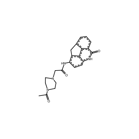 CC(=O)N1CCN(CC(=O)Nc2ccc3[nH]c(=O)c4cccc5c4c3c2C5)CC1